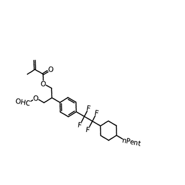 C=C(C)C(=O)OCC(COC=O)c1ccc(C(F)(F)C(F)(F)C2CCC(CCCCC)CC2)cc1